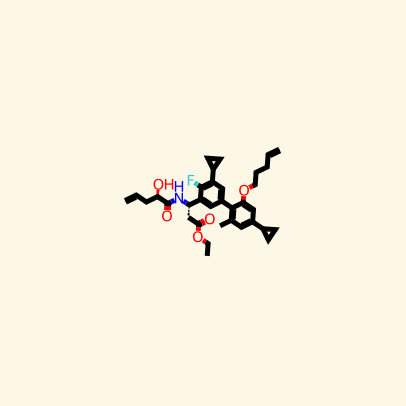 C=CCCCOc1cc(C2CC2)cc(C)c1-c1cc(C2CC2)c(F)c([C@H](CC(=O)OCC)NC(=O)[C@H](O)CC=C)c1